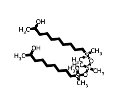 CC(O)CCCCCCCC[Si](C)(C)O[Si](C)(C)O[Si](C)(C)CCCCCCCC(C)O